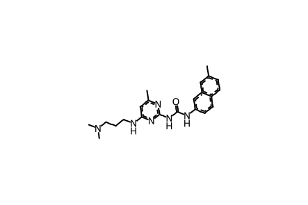 Cc1ccc2ccc(NC(=O)Nc3nc(C)cc(NCCCN(C)C)n3)cc2c1